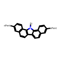 CCCCCc1ccc2c(ccc3c4ccc5cc(CCCCC)ccc5c4n(CC)c23)c1